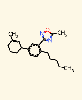 CCCCCc1ccc(C2C=C(C)CCC2)cc1-c1noc(C)n1